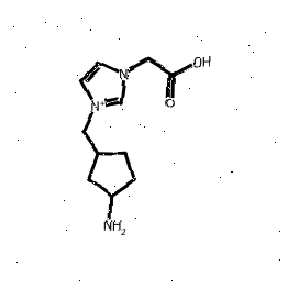 NC1CCC(C[n+]2ccn(CC(=O)O)c2)C1